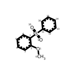 COc1ccc[c]c1S(=O)(=O)c1ccccc1